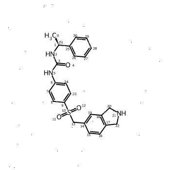 C[C@H](NC(=O)Nc1ccc(S(=O)(=O)Cc2ccc3c(c2)CNC3)cc1)c1ccccc1